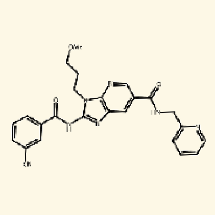 COCCCn1c(NC(=O)c2cccc(C#N)c2)nc2cc(C(=O)NCc3ccccn3)cnc21